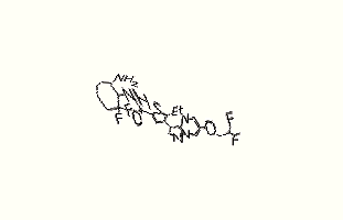 CCc1sc(C(=O)N[C@@H]2[C@@H](N)CCCC2(F)F)cc1-c1cnn2cc(OCC(F)F)cnc12